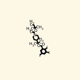 CCC(C)(C)OC(=O)N1CCC(C(C)(C)OC(=O)c2cc(I)cc(I)c2I)CC1